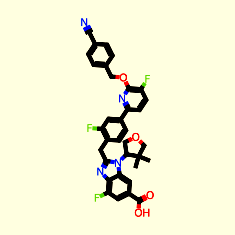 CC1(C)COCC1n1c(Cc2ccc(-c3ccc(F)c(OCc4ccc(C#N)cc4)n3)cc2F)nc2c(F)cc(C(=O)O)cc21